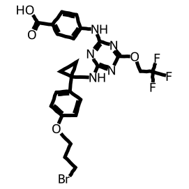 O=C(O)c1ccc(Nc2nc(NC3(c4ccc(OCCCBr)cc4)CC3)nc(OCC(F)(F)F)n2)cc1